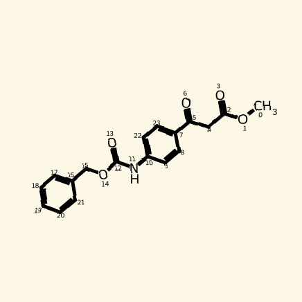 COC(=O)CC(=O)c1ccc(NC(=O)OCc2ccccc2)cc1